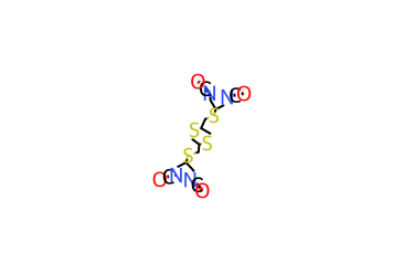 O=C=NCC(CN=C=O)SCC1CSC(CSC(CN=C=O)CN=C=O)CS1